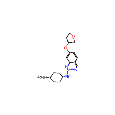 CC(=O)N[C@H]1CC[C@H](Nc2ncc3ccc(OC4CCOC4)cc3n2)CC1